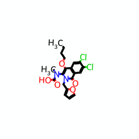 CCCCOc1c(N(C)C(=O)O)n(Cc2ccco2)c(=O)c2cc(Cl)c(Cl)cc12